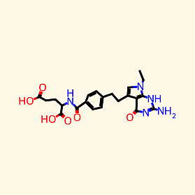 CCn1cc(CCc2ccc(C(=O)NC(CCC(=O)O)C(=O)O)cc2)c2c(=O)nc(N)[nH]c21